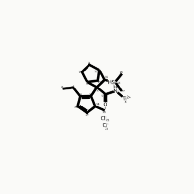 CCC1=C(C2(C(=O)[NH][Ti+2])C3CCC(C3)C2[SiH](C)C)C(C)C=C1.[Cl-].[Cl-]